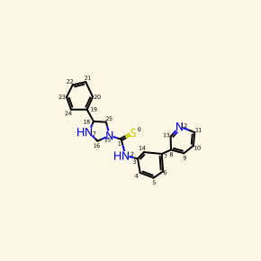 S=C(Nc1cccc(-c2cccnc2)c1)N1CNC(c2ccccc2)C1